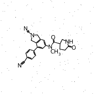 CN(C(=O)C1CCC(=O)NC1)c1cc2c(c(-c3ccc(C#N)cc3)c1)CN(C#N)C2